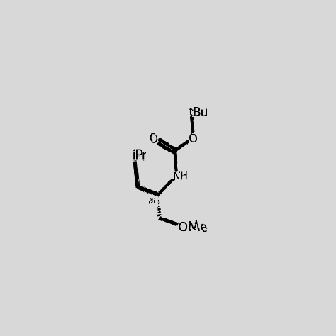 COC[C@H](CC(C)C)NC(=O)OC(C)(C)C